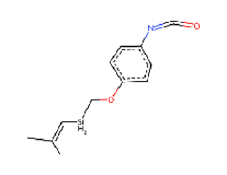 CC(C)=C[SiH2]COc1ccc(N=C=O)cc1